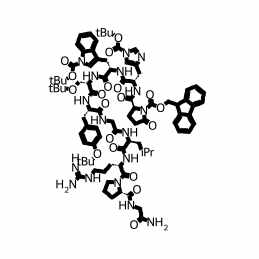 CC(C)C[C@H](NC(=O)CNC(=O)[C@H](Cc1ccc(OC(C)(C)C)cc1)NC(=O)[C@H](COC(C)(C)C)NC(=O)[C@H](Cc1cn(C(=O)OC(C)(C)C)c2ccccc12)NC(=O)[C@H](Cc1cn(C(=O)OC(C)(C)C)cn1)NC(=O)[C@@H]1CCC(=O)N1C(=O)OCC1c2ccccc2-c2ccccc21)C(=O)N[C@@H](CCCNC(=N)N)C(=O)N1CCC[C@H]1C(=O)NCC(N)=O